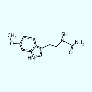 COc1ccc2c(CCN(S)C(N)=O)c[nH]c2c1